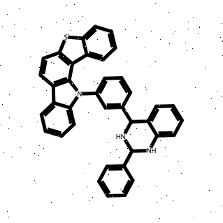 c1ccc(C2Nc3ccccc3C(c3cccc(-n4c5ccccc5c5ccc6sc7ccccc7c6c54)c3)N2)cc1